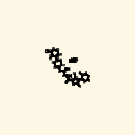 Cc1ccccc1-n1c(C)nc(C(=O)NCC(O)CN2CCN(c3cccc(Cl)c3C)CC2)c1C.Cl.Cl